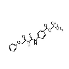 CC(C)OC(=O)c1ccc(NC(=S)NC(=O)COc2ccccc2)cc1